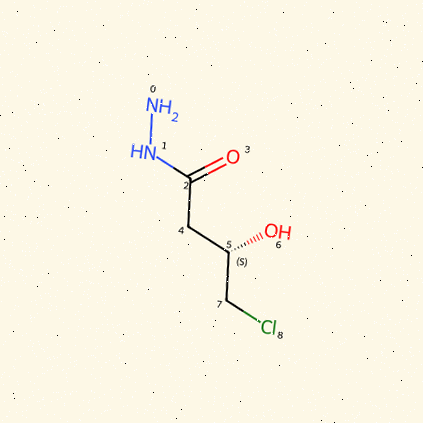 NNC(=O)C[C@H](O)CCl